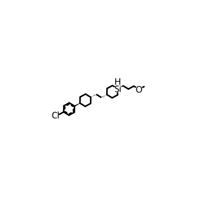 COCCC[Si@H]1CC[C@H](CC[C@H]2CC[C@H](c3ccc(Cl)cc3)CC2)CC1